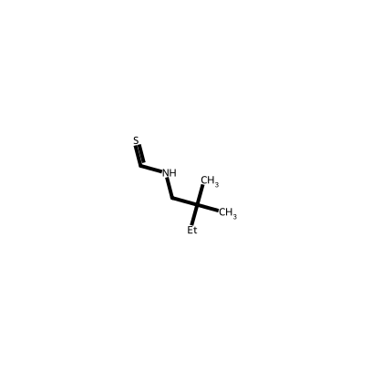 CCC(C)(C)CNC=S